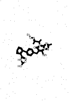 CCCc1c(Cc2ccc(-c3ccccc3C3=NOC(O)N3)cc2)c(=O)n(C(C)/C(C)=N/OCC)c2nc(C)nn12